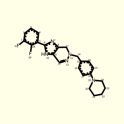 Fc1cccc(-c2nc3c([nH]2)C=NN(Cc2ccc(N4CCCCC4)cc2)C3)c1F